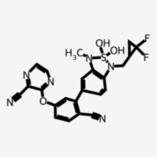 CN1c2cc(-c3cc(Oc4nccnc4C#N)ccc3C#N)ccc2N(CC2CC2(F)F)S1(O)O